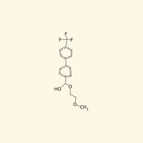 COCCOC(O)c1ccc(-c2ccc(C(F)(F)F)cc2)cc1